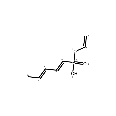 C=COP(=O)(O)C=CC=CC